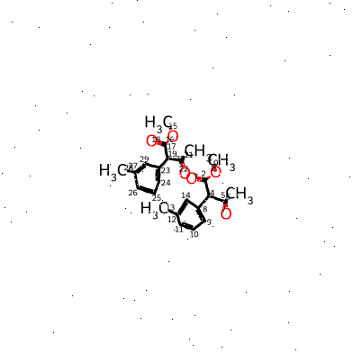 COC(=O)C(C(C)=O)c1cccc(C)c1.COC(=O)C(C(C)=O)c1cccc(C)c1